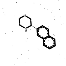 c1ccc2cc([C@H]3C[N]CCN3)ccc2c1